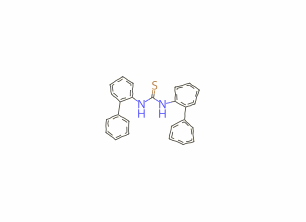 S=C(Nc1ccccc1-c1ccccc1)Nc1ccccc1-c1ccccc1